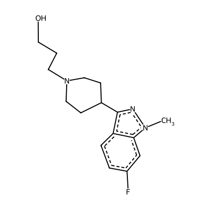 Cn1nc(C2CCN(CCCO)CC2)c2ccc(F)cc21